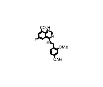 COc1ccc(CNc2ncnc3c(C(=O)O)cc(F)cc23)c(OC)c1